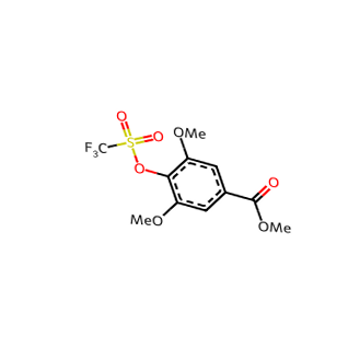 COC(=O)c1cc(OC)c(OS(=O)(=O)C(F)(F)F)c(OC)c1